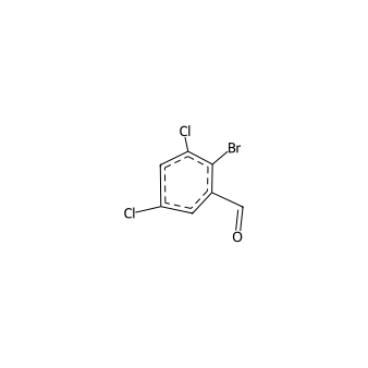 O=Cc1cc(Cl)cc(Cl)c1Br